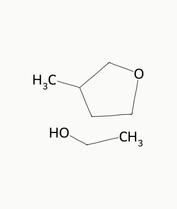 CC1CCOC1.CCO